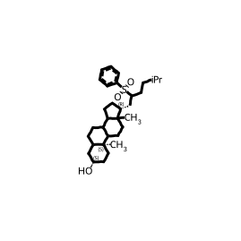 CC(C)CCC(C[C@H]1CCC2C3CCC4C[C@@H](O)CC[C@]4(C)C3CCC21C)S(=O)(=O)c1ccccc1